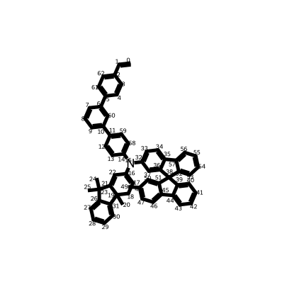 C=Cc1ccc(-c2cccc(-c3ccc(N(C4=CCC5(C)C(=C4)C(C)(C)c4ccccc45)c4ccc5c(c4)C4(c6ccccc6-c6ccc(C)cc64)c4ccccc4-5)cc3)c2)cc1